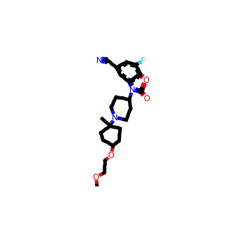 COCCOC1CCC(C)(N2CCC(n3c(=O)oc4c(F)cc(C#N)cc43)CC2)CC1